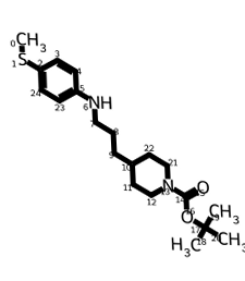 CSc1ccc(NCCCC2CCN(C(=O)OC(C)(C)C)CC2)cc1